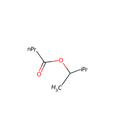 CCCC(=O)OC(C)C(C)C